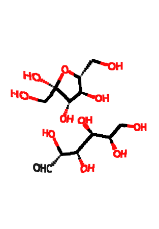 O=C[C@H](O)[C@@H](O)[C@@H](O)[C@H](O)CO.OC[C@H]1O[C@](O)(CO)[C@@H](O)[C@@H]1O